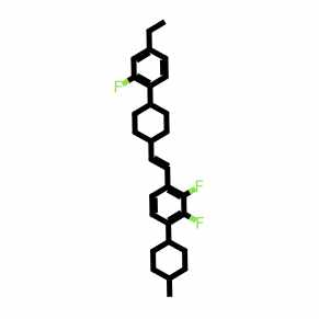 CCc1ccc(C2CCC(/C=C/c3ccc(C4CCC(C)CC4)c(F)c3F)CC2)c(F)c1